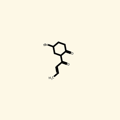 CC=CC(=O)C1CC(C(C)(C)C)CCC1=O